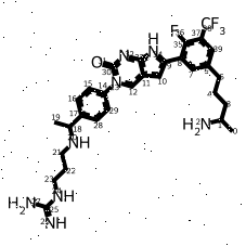 CC(N)CCCc1cc(-c2cc3cn(-c4ccc(C(C)NCCCNC(=N)N)cc4)c(=O)nc3[nH]2)c(F)c(C(F)(F)F)c1